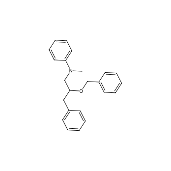 CN(CC(Cc1ccccc1)OCc1ccccc1)c1ccccc1